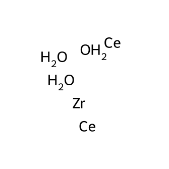 O.O.O.[Ce].[Ce].[Zr]